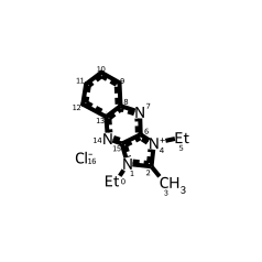 CCn1c(C)[n+](CC)c2nc3ccccc3nc21.[Cl-]